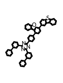 c1ccc(-c2cccc(-c3nc(-c4ccc(-c5ccc(-c6ccc7sc8ccccc8c7c6)c6oc7ccccc7c56)cc4)nc(-c4cccc(-c5ccccc5)c4)n3)c2)cc1